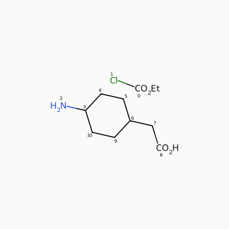 CCOC(=O)Cl.NC1CCC(CC(=O)O)CC1